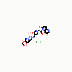 Cl.O=c1ccc2ncc(F)c3c2n1[C@H](CN1C[C@@H](CNCc2cc4c(cn2)OCCO4)[C@H](O)C1)CO3